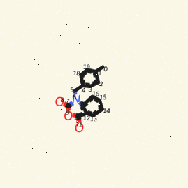 Cc1ccc(Cn2c(=O)oc(=O)c3ccccc32)cc1